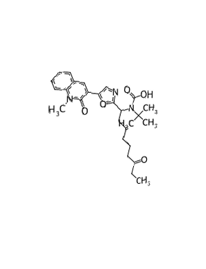 CCC(=O)CCCCCC(c1ncc(-c2cc3ccccc3n(C)c2=O)o1)N(C(=O)O)C(C)(C)C